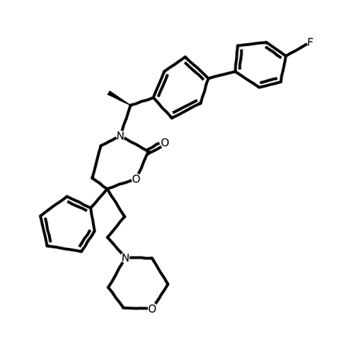 C[C@@H](c1ccc(-c2ccc(F)cc2)cc1)N1CCC(CCN2CCOCC2)(c2ccccc2)OC1=O